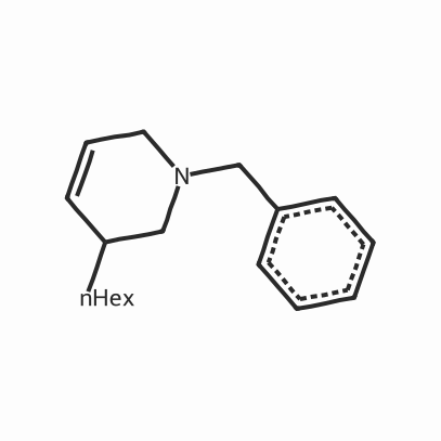 CCCCCCC1C=CCN(Cc2ccccc2)C1